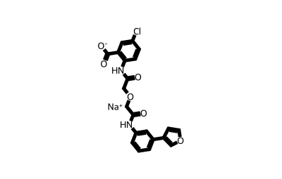 O=C(COCC(=O)Nc1ccc(Cl)cc1C(=O)[O-])Nc1cccc(-c2ccoc2)c1.[Na+]